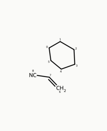 C1CCCCC1.C=CC#N